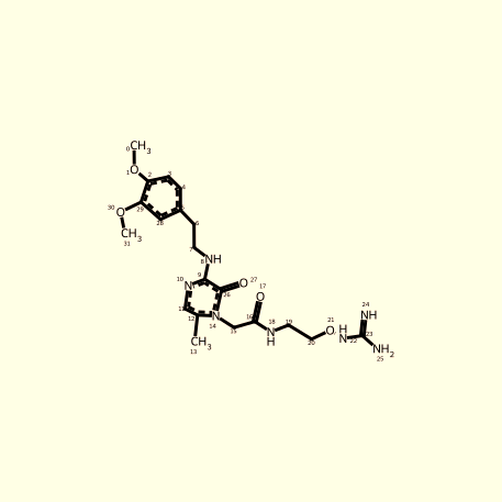 COc1ccc(CCNc2ncc(C)n(CC(=O)NCCONC(=N)N)c2=O)cc1OC